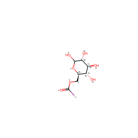 O=C(I)OC[C@H]1OC(O)[C@H](O)[C@@H](O)[C@@H]1O